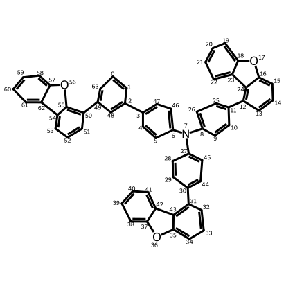 c1cc(-c2ccc(N(c3ccc(-c4cccc5oc6ccccc6c45)cc3)c3ccc(-c4cccc5oc6ccccc6c45)cc3)cc2)cc(-c2cccc3c2oc2ccccc23)c1